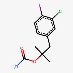 CC(C)(Cc1ccc(I)c(Cl)c1)OC(N)=O